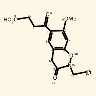 COc1cc2c(cc1C(=O)CCC(=O)O)CC(=O)N(CC(C)C)O2